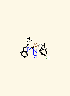 Cc1ccc(Cl)cc1NC(=S)n1c(C)cc2ccccc21